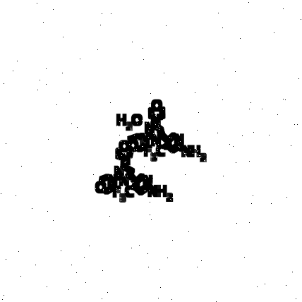 Nc1cc(C(F)(F)F)c(-c2cc(N3CCOCC3)nc(N3CCOCC3)n2)cn1.Nc1cc(C(F)(F)F)c(-c2cc(N3CCOCC3)nc(N3CCOCC3)n2)cn1.O